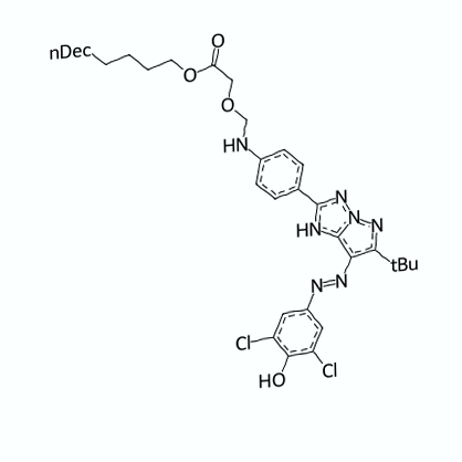 CCCCCCCCCCCCCCOC(=O)COCNc1ccc(-c2nn3nc(C(C)(C)C)c(N=Nc4cc(Cl)c(O)c(Cl)c4)c3[nH]2)cc1